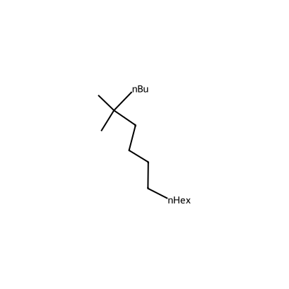 [CH2]CCCC(C)(C)CCCCCCCCCC